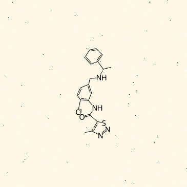 Cc1nnsc1C(=O)Nc1cc(CNC(C)c2ccccc2)ccc1Cl